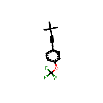 CC(C)(C)C#Cc1ccc(OC(F)(F)F)cc1